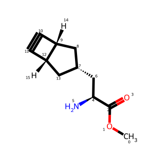 COC(=O)[C@@H](N)C[C@H]1C[C@H]2C#C[C@H]2C1